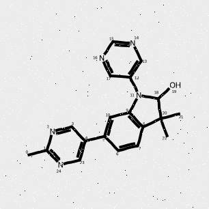 Cc1ncc(-c2ccc3c(c2)N(c2cncnc2)C(O)C3(C)C)cn1